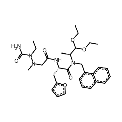 CCOC(OCC)[C@H](C)N(Cc1cccc2ccccc12)C(=O)[C@H](Cc1ccco1)NC(=O)CN(C)N(CC)C(N)=O